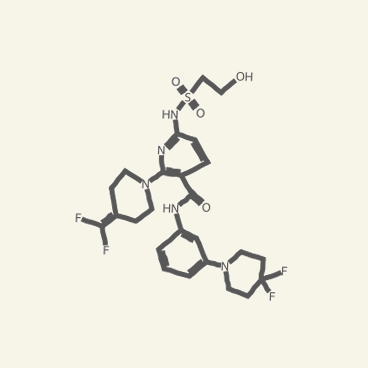 O=C(Nc1cccc(N2CCC(F)(F)CC2)c1)c1ccc(NS(=O)(=O)CCO)nc1N1CCC(=C(F)F)CC1